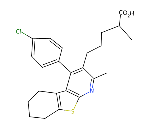 Cc1nc2sc3c(c2c(-c2ccc(Cl)cc2)c1CCCC(C)C(=O)O)CCCC3